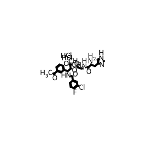 CC(=O)c1ccc2c(c1)[C@H](NC(=O)c1ccc(F)c(Cl)c1)[C@H](OC(=O)CNC(=O)[C@@H](N)Cc1c[nH]cn1)C(C)(C)O2.Cl.Cl